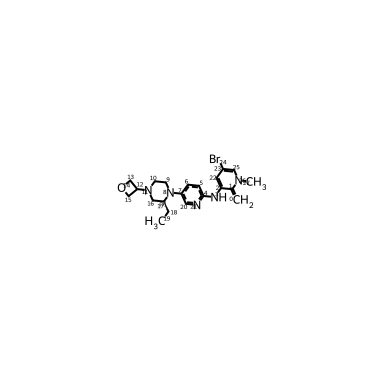 C=C1C(Nc2ccc(N3CCN(C4COC4)C[C@@H]3CC)cn2)=CC(Br)=CN1C